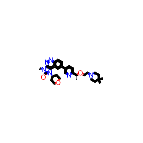 C[C@@H](OCCN1CCC(C)(C)CC1)c1ccc(-c2ccc3nnc4c(c3c2)n(C2CCOCC2)c(=O)n4C)cn1